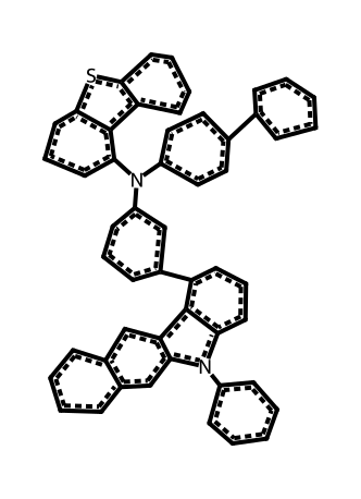 c1ccc(-c2ccc(N(c3cccc(-c4cccc5c4c4cc6ccccc6cc4n5-c4ccccc4)c3)c3cccc4sc5ccccc5c34)cc2)cc1